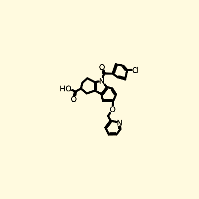 O=C(O)C1CCc2c(c3cc(OCc4ccccn4)ccc3n2C(=O)c2ccc(Cl)cc2)C1